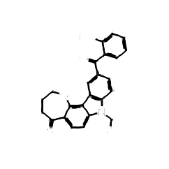 CCn1c2ccc(C(=O)c3ccccc3C)cc2c2c3c(ccc21)C(=O)CCCO3